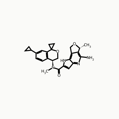 C[C@H]1OCc2c1c(N)nc1cc(C(=O)N(C)[C@@H]3COC4(CC4)c4cc(C5CC5)ccc43)[nH]c21